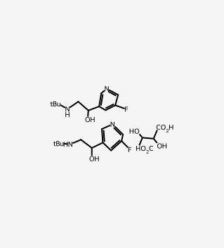 CC(C)(C)NCC(O)c1cncc(F)c1.CC(C)(C)NCC(O)c1cncc(F)c1.O=C(O)C(O)C(O)C(=O)O